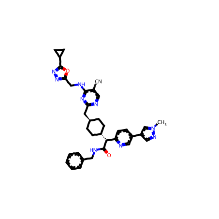 Cn1cc(-c2ccc(C(C(=O)NCc3ccccc3)[C@H]3CC[C@H](Cc4ncc(C#N)c(NCc5nnc(C6CC6)o5)n4)CC3)nc2)cn1